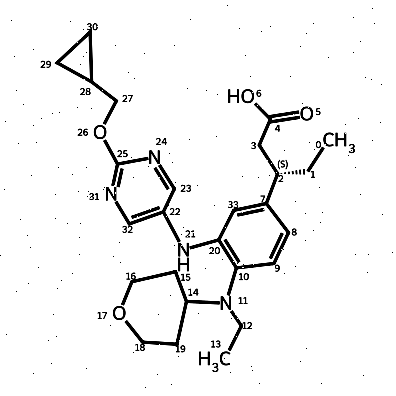 CC[C@@H](CC(=O)O)c1ccc(N(CC)C2CCOCC2)c(Nc2cnc(OCC3CC3)nc2)c1